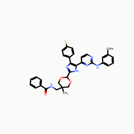 COc1cccc(Nc2nccc(-c3[nH]c(C4OCC(C)(CNC(=O)c5ccccc5)CO4)nc3-c3ccc(F)cc3)n2)c1